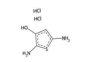 Cl.Cl.Nc1cc(O)c(N)s1